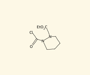 CCOC(=O)N1CCCCN1C(=O)Cl